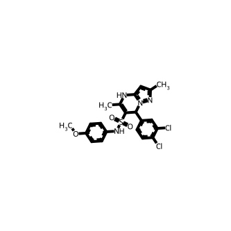 COc1ccc(NS(=O)(=O)C2=C(C)Nc3cc(C)nn3C2c2ccc(Cl)c(Cl)c2)cc1